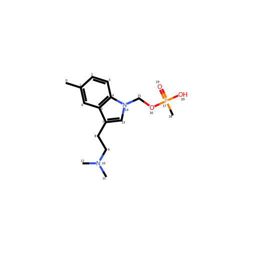 Cc1ccc2c(c1)c(CCN(C)C)cn2COP(C)(=O)O